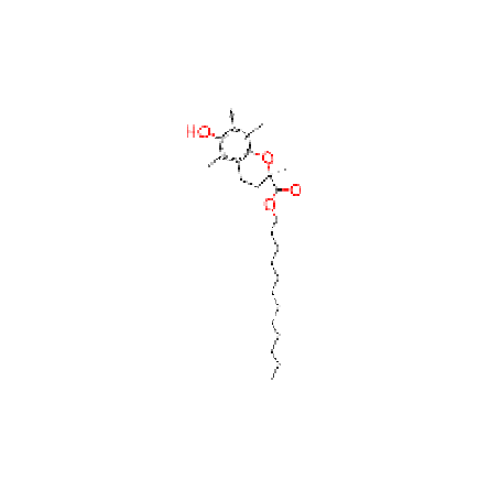 CCCCCCCCCCCCOC(=O)[C@@]1(C)CCc2c(C)c(O)c(C)c(C)c2O1